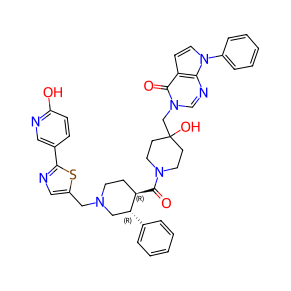 O=C([C@@H]1CCN(Cc2cnc(-c3ccc(O)nc3)s2)C[C@H]1c1ccccc1)N1CCC(O)(Cn2cnc3c(ccn3-c3ccccc3)c2=O)CC1